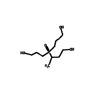 CC(CCO)P(=O)(CCCO)CCCO